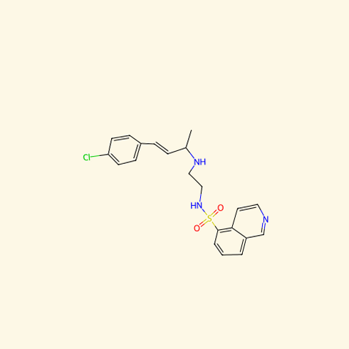 CC(C=Cc1ccc(Cl)cc1)NCCNS(=O)(=O)c1cccc2cnccc12